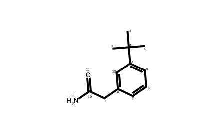 CC(C)(C)c1cccc(CC(N)=O)c1